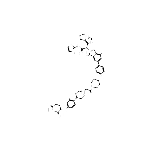 O=C1CC[C@H](Nc2ccc(C3CCN(CC(=O)N4CCC(Oc5ccc(-c6cc(F)c7c(c6)C(O)N(C(C(=O)Nc6nccs6)c6ncn8c6CCC8)C7)cc5)CC4)CC3)c(F)c2)C(=O)N1